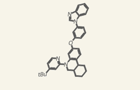 CC(C)(C)c1ccnc(N2CC3CCCCC3c3ccc(Oc4cccc(-n5cnc6ccccc65)c4)cc32)c1